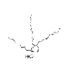 CCCCCCCCCCc1ccc(O)c(CCCCCCCC)c1CCCCCCCCCC